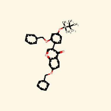 CC(C)(C)[Si](C)(C)Oc1ccc(-c2coc3cc(OCc4ccccc4)ccc3c2=O)c(OCc2ccccc2)c1